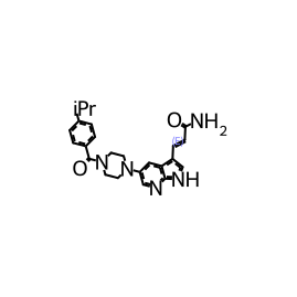 CC(C)c1ccc(C(=O)N2CCN(c3cnc4[nH]cc(/C=C/C(N)=O)c4c3)CC2)cc1